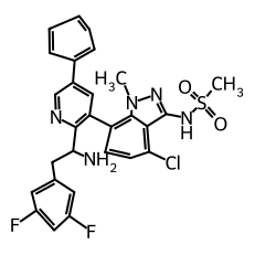 Cn1nc(NS(C)(=O)=O)c2c(Cl)ccc(-c3cc(-c4ccccc4)cnc3C(N)Cc3cc(F)cc(F)c3)c21